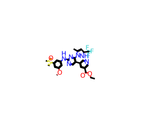 C=S(C)(=O)c1cc(Nc2ncc(-c3cncc(C(=O)OCC)c3)c(N3NC(C(F)(F)F)C=C3C)n2)cc(OC)c1